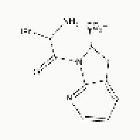 CC(C)C(N)C(=O)N1c2ncccc2CC1C(=O)O